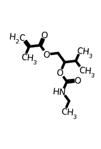 C=C(C)C(=O)OCC(OC(=O)NCC)C(C)C